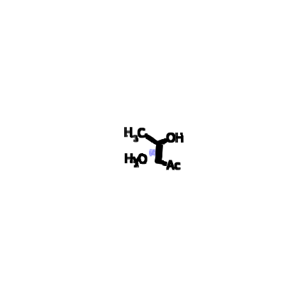 CC(=O)/C=C(/C)O.O.[Y]